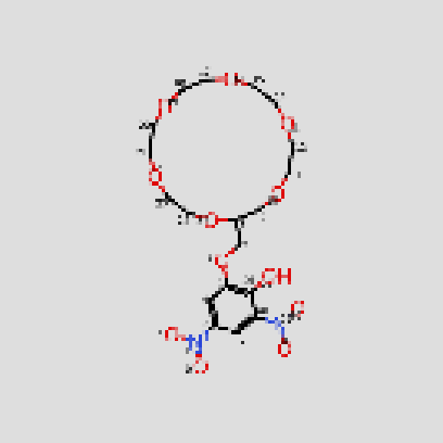 O=[N+]([O-])c1cc(OCC2COCCOCCOCCOCCOCCO2)c(O)c([N+](=O)[O-])c1